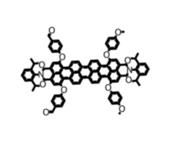 COc1ccc(Oc2cc3c4c(cc(Oc5ccc(OC)cc5)c5c6ccc7c8ccc9c%10c(Oc%11ccc(C=O)cc%11)cc%11c%12c(cc(Oc%13ccc(C=O)cc%13)c(c%13ccc(c%14ccc(c2c45)c6c%147)c8c%139)c%12%10)C(=O)N(c2c(C(C)C)cccc2C(C)C)C%11=O)C(=O)N(c2c(C(C)C)cccc2C(C)C)C3=O)cc1